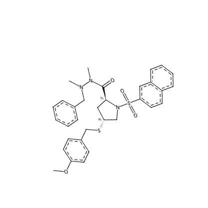 COc1ccc(CS[C@@H]2C[C@@H](C(=O)N(C)N(C)Cc3ccccc3)N(S(=O)(=O)c3ccc4ccccc4c3)C2)cc1